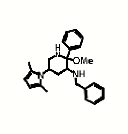 COC1(c2ccccc2)NCC(n2c(C)ccc2C)CC1NCc1ccccc1